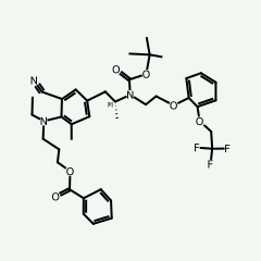 CCN(CCCOC(=O)c1ccccc1)c1c(C)cc(C[C@@H](C)N(CCOc2ccccc2OCC(F)(F)F)C(=O)OC(C)(C)C)cc1C#N